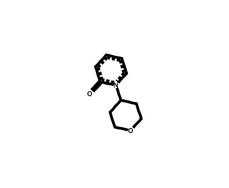 O=c1ccccn1C1CCOCC1